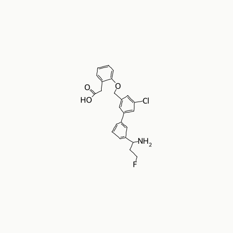 NC(CCF)c1cccc(-c2cc(Cl)cc(COc3ccccc3CC(=O)O)c2)c1